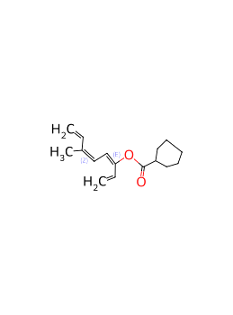 C=C/C(C)=C\C=C(/C=C)OC(=O)C1CCCCC1